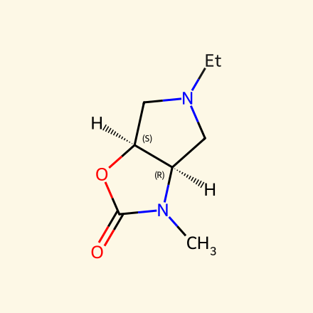 CCN1C[C@@H]2OC(=O)N(C)[C@@H]2C1